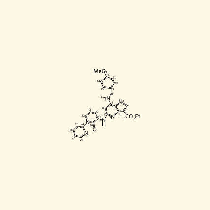 CCOC(=O)c1cnn2c(N(C)Cc3ccc(OC)cc3)cc(Nc3cccn(-c4ccccn4)c3=O)nc12